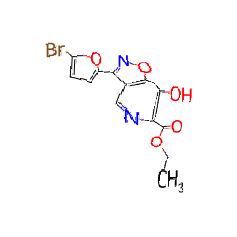 CCOC(=O)c1ncc2c(-c3ccc(Br)o3)noc2c1O